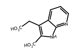 O=C(O)Cc1c(C(=O)O)[nH]c2ncccc12